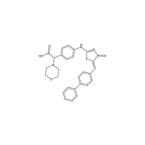 O=C1N=C(Nc2ccc(C(C(=O)O)N3CCOCC3)cc2)SC1=Cc1ccc(-c2ccccc2)cc1